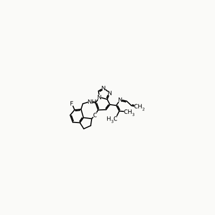 C=C/C=N\C(=C(C)C)c1cc2c(n3cnnc13)NCc1c(F)ccc3c1C(CC3)C2